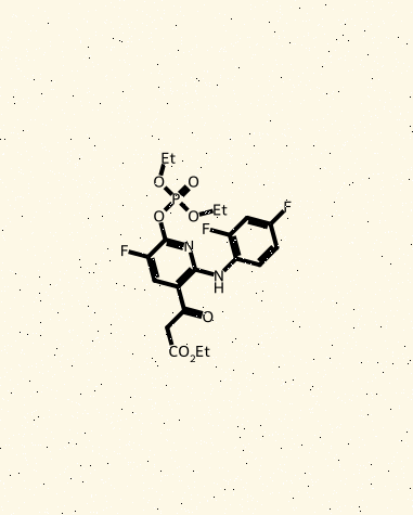 CCOC(=O)CC(=O)c1cc(F)c(OP(=O)(OCC)OCC)nc1Nc1ccc(F)cc1F